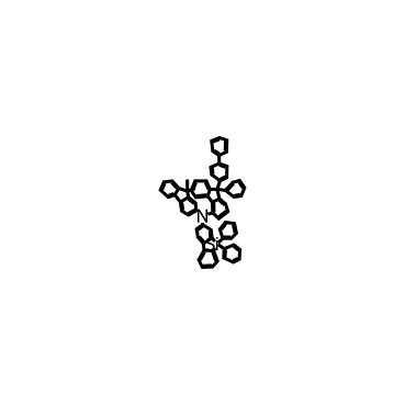 CC1(C)c2ccccc2-c2ccc(N(c3ccc4c(c3)[Si](c3ccccc3)(c3ccccc3)c3ccccc3-4)c3cccc4c3-c3ccccc3C4(c3ccccc3)c3ccc(-c4ccccc4)cc3)cc21